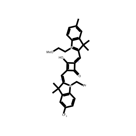 COCC[N+]1=C(/C=C2/C(=O)C(/C=C3\N(CC(C)C)c4ccc(C(F)(F)F)cc4C3(C)C)=C2O)C(C)(C)c2cc(C)ccc21